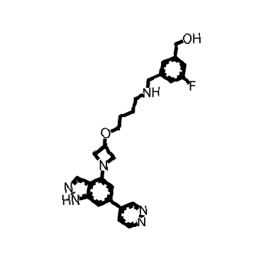 OCc1cc(F)cc(CNCCCCOC2CN(c3cc(-c4ccnnc4)cc4[nH]ncc34)C2)c1